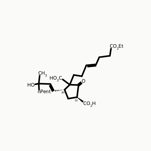 CCCCCC(C)(O)C=C[C@H]1C[C@H](C(=O)O)C(=O)C1(CCC=CCCC(=O)OCC)C(=O)O